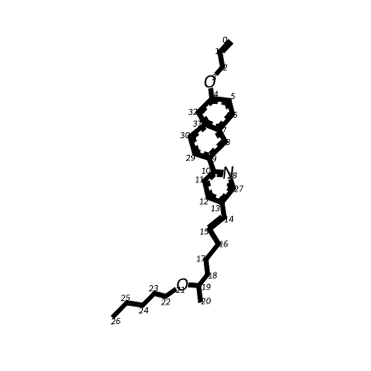 C=CCOc1ccc2cc(-c3ccc(/C=C/CCCC(C)OCCCCC)cn3)ccc2c1